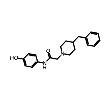 O=C(CN1CCC(Cc2ccccc2)CC1)Nc1ccc(O)cc1